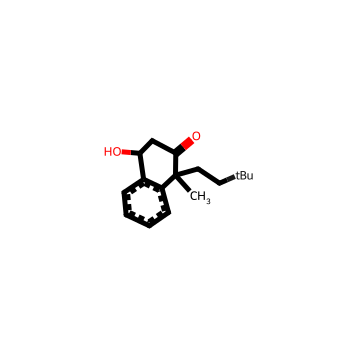 CC(C)(C)CCC1(C)C(=O)CC(O)c2ccccc21